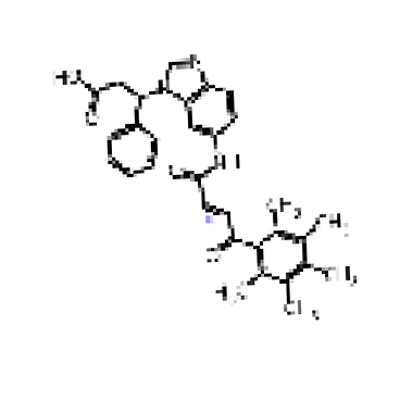 Cc1c(C)c(C)c(C(=O)/C=C/C(=O)Nc2ccc3ncn(C(CC(=O)O)c4ccccc4)c3c2)c(C)c1C